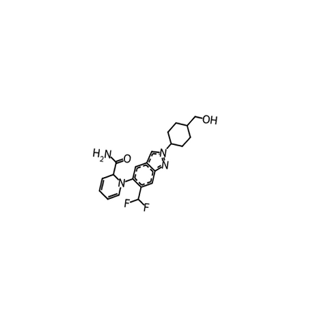 NC(=O)C1C=CC=CN1c1cc2cn(C3CCC(CO)CC3)nc2cc1C(F)F